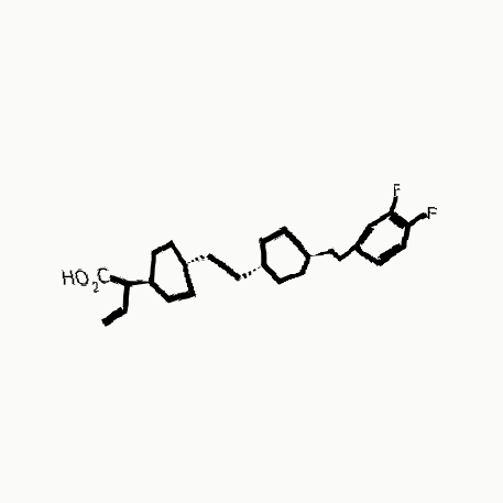 C=CC(C(=O)O)[C@H]1CC[C@H](CC[C@H]2CC[C@H](CCc3ccc(F)c(F)c3)CC2)CC1